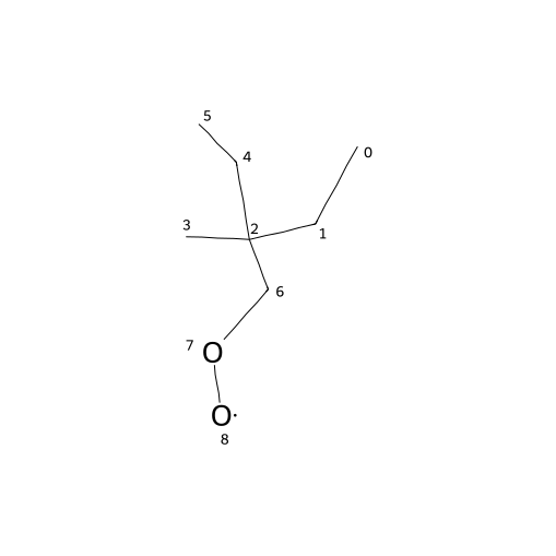 CCC(C)(CC)CO[O]